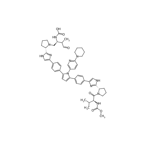 COC(=O)N[C@H](C(=O)N1CCC[C@H]1c1nc(-c2ccc(-c3ccc(-c4ccc(-c5c[nH]c([C@@H]6CCCN6C[C@@H](NC(=O)O)C(C)C=O)n5)cc4)n3-c3ccc(N4CCCCC4)nc3)cc2)c[nH]1)C(C)C